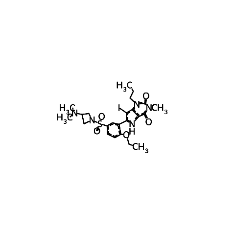 CCCn1c(=O)n(C)c(=O)c2[nH]c(-c3cc(S(=O)(=O)N4CC(N(C)C)C4)ccc3OCC)c(I)c21